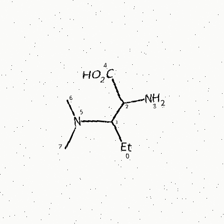 CCC(C(N)C(=O)O)N(C)C